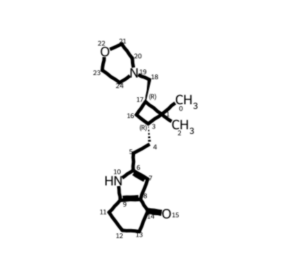 CC1(C)[C@H](CCc2cc3c([nH]2)CCCC3=O)C[C@H]1CN1CCOCC1